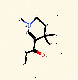 CCC(=O)C1=CN(C)CCC1(C)C